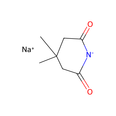 CC1(C)CC(=O)[N-]C(=O)C1.[Na+]